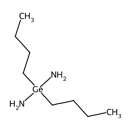 CCC[CH2][Ge]([NH2])([NH2])[CH2]CCC